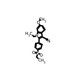 CCn1c(-c2ccc(S(=O)(=O)CC)cc2)c(C#N)c2ccc(OC)cc21